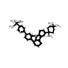 BC1(c2ccc3c(c2)c2cccc4c5ccc(-c6ccc(C(B)(B)C(C)(C)C)cn6)cc5n3c24)CCC(C)(C)CC1